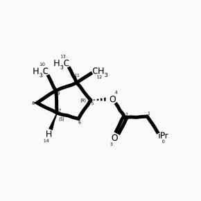 CC(C)CC(=O)O[C@@H]1C[C@@H]2CC2(C)C1(C)C